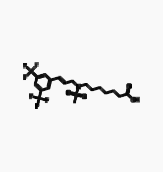 CS(=O)(=O)N(CC=Cc1cc(C(F)(F)F)cc(C(F)(F)F)c1)CCCCCCC(=O)O